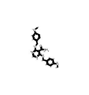 COc1ccc(COc2ncnc(OCc3ccc(OC)cc3)c2C(N)=O)cc1